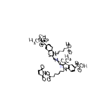 CN(C)S(=O)(=O)c1ccc2c(c1)sc(/C=C/C=C1/N(CCCCCC(=O)ON3C(=O)CCC3=O)c3ccc(S(=O)(=O)O)cc3C1(C)C)[n+]2CCCC[SH](=O)=O